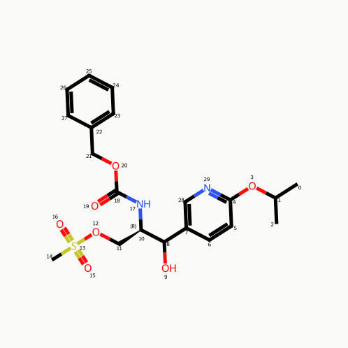 CC(C)Oc1ccc(C(O)[C@@H](COS(C)(=O)=O)NC(=O)OCc2ccccc2)cn1